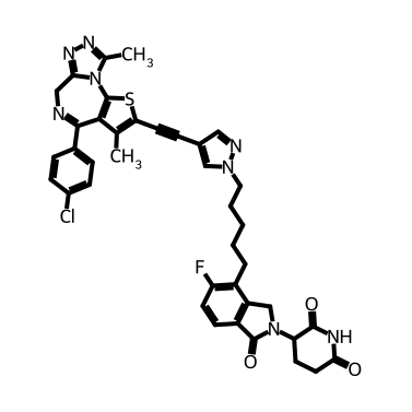 Cc1c(C#Cc2cnn(CCCCCc3c(F)ccc4c3CN(C3CCC(=O)NC3=O)C4=O)c2)sc2c1C(c1ccc(Cl)cc1)=NCc1nnc(C)n1-2